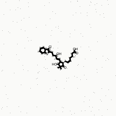 CC1(C)C(=O)[C@H](C/C=C\CCCC(=O)O)C(/C=C/C(O)CCC2=C(Cl)C3C=CC=CC3S2)[C@@H]1O